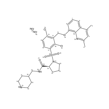 Cc1cc(C)c2cccc(OCc3c(Cl)ccc(S(=O)(=O)N4CCC[C@H]4C(=O)NCC4CCNCC4)c3Cl)c2n1.Cl.Cl